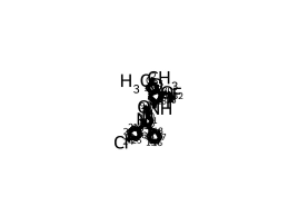 CC1(C)Cc2cc(NC(=O)N3CC(c4ccccc4)C(c4ccc(Cl)cc4)=N3)cc(OC(F)F)c2O1